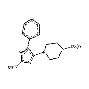 COc1nc(N2CCN(C(=O)O)CC2)n(-c2ccccc2)n1